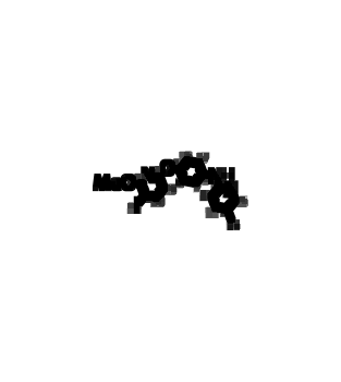 COc1nc(Oc2ccc(Nc3ccc(C)cn3)cc2)ccc1I